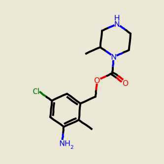 Cc1c(N)cc(Cl)cc1COC(=O)N1CCNCC1C